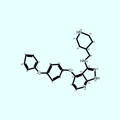 c1ccc(Oc2ccc(Oc3ccnc4[nH]nc(NCC5CCNCC5)c34)cc2)cc1